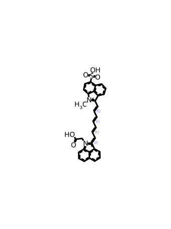 C[N+]1=C(/C=C/C=C/C=C/C=c2/c3cccc4cccc(c43)n2CC(=O)O)c2cccc3c(S(=O)(=O)O)ccc1c23